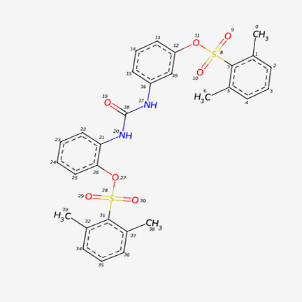 Cc1cccc(C)c1S(=O)(=O)Oc1cccc(NC(=O)Nc2ccccc2OS(=O)(=O)c2c(C)cccc2C)c1